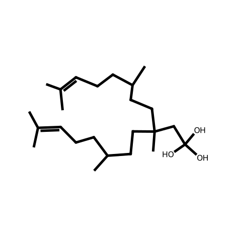 CC(C)=CCCC(C)CCC(C)(CCC(C)CCC=C(C)C)CC(O)(O)O